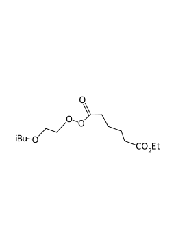 CCOC(=O)CCCCC(=O)OOCCOC(C)CC